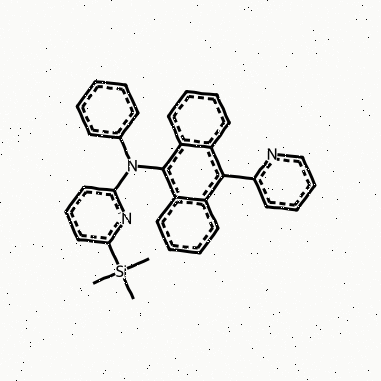 C[Si](C)(C)c1cccc(N(c2ccccc2)c2c3ccccc3c(-c3ccccn3)c3ccccc23)n1